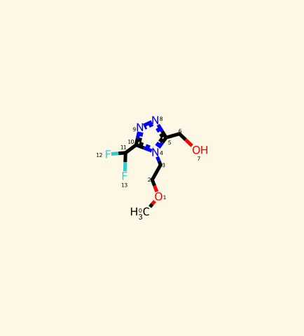 COCCn1c(CO)nnc1C(F)F